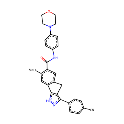 COc1cc2c(cc1C(=O)Nc1ccc(N3CCOCC3)cc1)Cc1c(-c3ccc(C#N)cc3)n[nH]c1-2